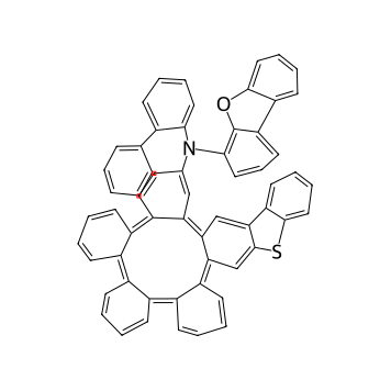 c1ccc(-c2ccccc2N(c2ccc3c4ccccc4c4ccccc4c4ccccc4c4cc5sc6ccccc6c5cc4c3c2)c2cccc3c2oc2ccccc23)cc1